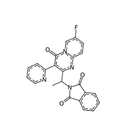 CC(c1nc2ccc(F)cn2c(=O)c1-c1ccccn1)N1C(=O)c2ccccc2C1=O